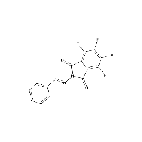 O=C1c2c(F)c(F)c(F)c(F)c2C(=O)N1N=Cc1ccccc1